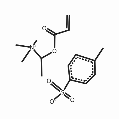 C=CC(=O)OC(C)[N+](C)(C)C.Cc1ccc(S(=O)(=O)[O-])cc1